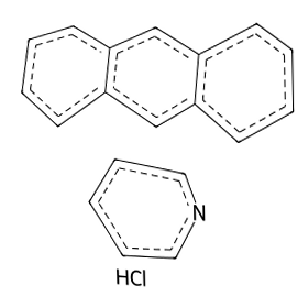 Cl.c1ccc2cc3ccccc3cc2c1.c1ccncc1